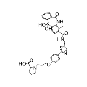 Cc1c(C(=O)NCc2cnc(-c3ccc(OCCCN4CCC[C@H]4C(=O)O)cc3)s2)ccc2c1NC(=O)c1ccccc1S2(O)O